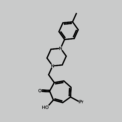 Cc1ccc(N2CCN(Cc3ccc(C(C)C)cc(O)c3=O)CC2)cc1